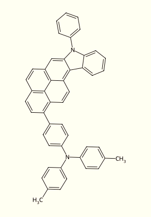 Cc1ccc(N(c2ccc(C)cc2)c2ccc(-c3ccc4ccc5cc6c(c7ccc3c4c57)c3ccccc3n6-c3ccccc3)cc2)cc1